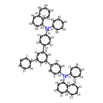 c1ccc(-c2cc(-c3ccc(N(c4ccccc4)c4cccc5ccccc45)cc3)cc(-c3ccc(N(c4ccccc4)c4cccc5ccccc45)cc3)c2)cc1